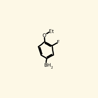 Bc1ccc(OCC)c(F)c1